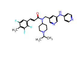 Cc1c(F)cc(/C=C/C(=O)N(Cc2cncc(Nc3ccncc3)c2)C2CCN(C(C)C)CC2)c(F)c1F